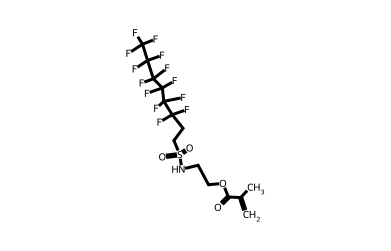 C=C(C)C(=O)OCCNS(=O)(=O)CCC(F)(F)C(F)(F)C(F)(F)C(F)(F)C(F)(F)C(F)(F)F